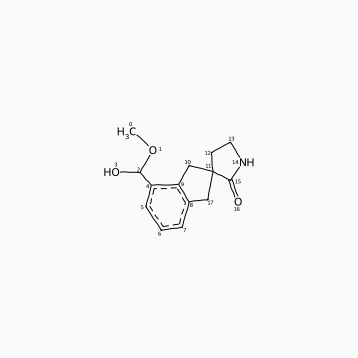 COC(O)c1cccc2c1CC1(CCNC1=O)C2